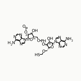 Nc1ncnc2c1ncn2[C@@H]1O[C@H](COCS)[C@@H](OPOC[C@H]2O[C@@H](n3cnc4c(N)ncnc43)[C@H](OP=O)[C@@H]2O)[C@H]1O